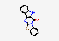 O=c1c2[nH]c3ccccc3c2nc2sc3ccccc3n12